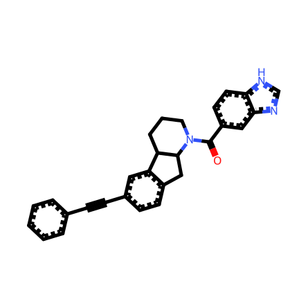 O=C(c1ccc2[nH]cnc2c1)N1CCCC2c3cc(C#Cc4ccccc4)ccc3CC21